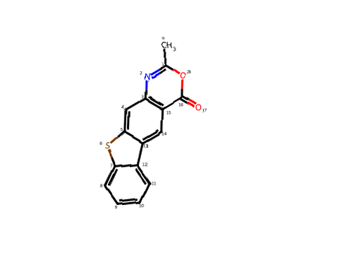 Cc1nc2cc3sc4ccccc4c3cc2c(=O)o1